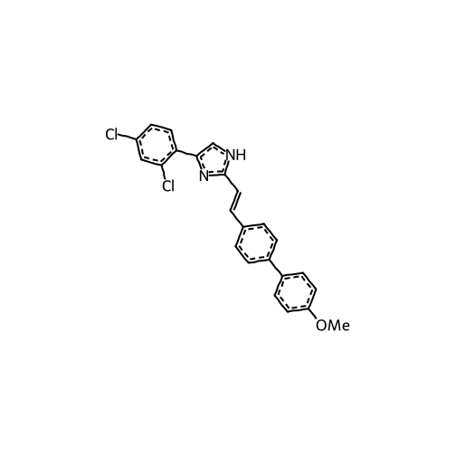 COc1ccc(-c2ccc(C=Cc3nc(-c4ccc(Cl)cc4Cl)c[nH]3)cc2)cc1